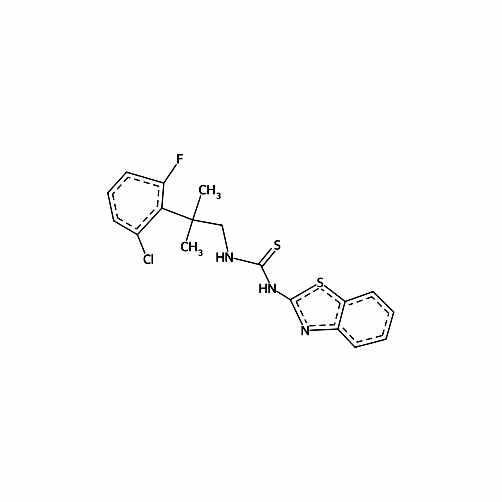 CC(C)(CNC(=S)Nc1nc2ccccc2s1)c1c(F)cccc1Cl